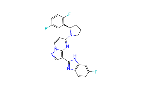 Fc1ccc(F)c([C@H]2CCCN2c2ccn3ncc(-c4nc5ccc(F)cc5[nH]4)c3n2)c1